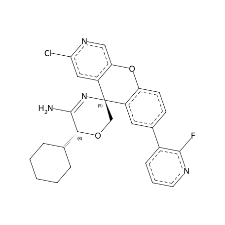 NC1=N[C@@]2(CO[C@@H]1C1CCCCC1)c1cc(-c3cccnc3F)ccc1Oc1cnc(Cl)cc12